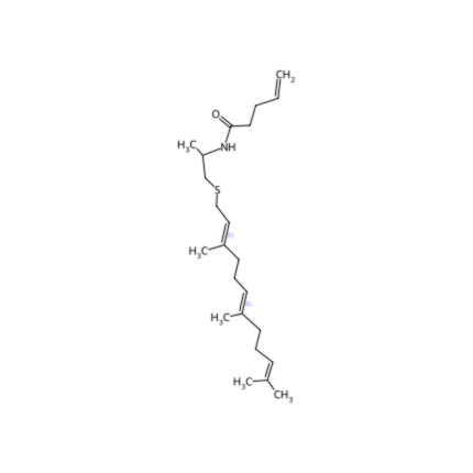 C=CCCC(=O)NC(C)CSC/C=C(\C)CC/C=C(\C)CCC=C(C)C